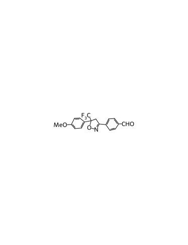 COc1ccc(C2(C(F)(F)F)CC(c3ccc(C=O)cc3)=NO2)cc1